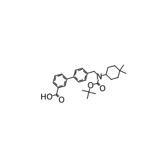 CC1(C)CCC(N(Cc2ccc(-c3cccc(C(=O)O)c3)cc2)C(=O)OC(C)(C)C)CC1